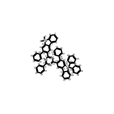 C[Si]1(C)c2ccccc2-c2cc(-c3nc(-c4ccccc4)nc(-c4cc5c(cc4-c4ccccc4)[Si](c4ccccc4)(c4ccccc4)c4ccccc4-5)n3)c(-c3ccccc3)cc21